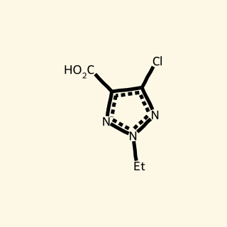 CCn1nc(Cl)c(C(=O)O)n1